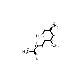 C=C(CC)CC(C)CCOC(C)=O